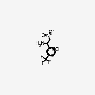 Cl.NC(C[N+](=O)[O-])c1cccc(C(F)(F)F)c1